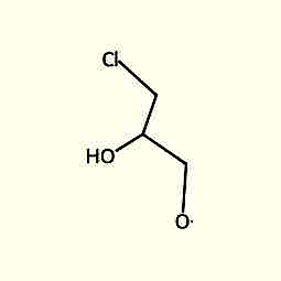 [O]CC(O)CCl